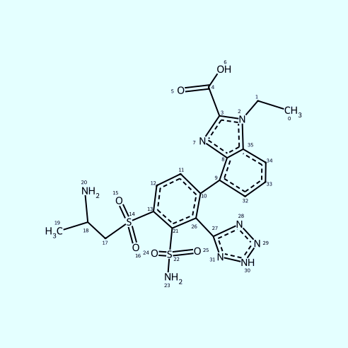 CCn1c(C(=O)O)nc2c(-c3ccc(S(=O)(=O)CC(C)N)c(S(N)(=O)=O)c3-c3nn[nH]n3)cccc21